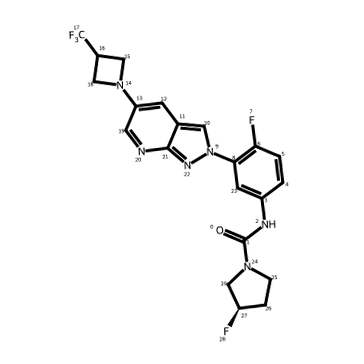 O=C(Nc1ccc(F)c(-n2cc3cc(N4CC(C(F)(F)F)C4)cnc3n2)c1)N1CC[C@@H](F)C1